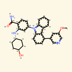 COc1cncc(-c2cccc3c2c2ccccc2n3-c2ccc(C(N)=O)c(N[C@H]3CC[C@H](O)CC3)c2)c1